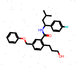 CC(C)CC(NC(=O)c1cc(COc2ccccc2)ccc1CCCO)c1ccc(F)cc1